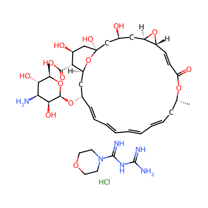 C[C@@H]1C/C=C/C=C/C=C/C=C/[C@H](O[C@@H]2O[C@H](C)[C@@H](O)[C@H](N)[C@@H]2O)C[C@@H]2O[C@](O)(C[C@@H](O)C[C@H]3O[C@@H]3/C=C/C(=O)O1)C[C@H](O)[C@H]2C(=O)O.Cl.N=C(N)NC(=N)N1CCOCC1